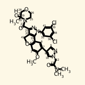 COc1cc2c(cc1-c1cnn(CC(=O)N(C)C)c1)-c1c(c(C(=O)N3CCOCC3(C)C)nn1-c1cc(Cl)cc(Cl)c1)CO2